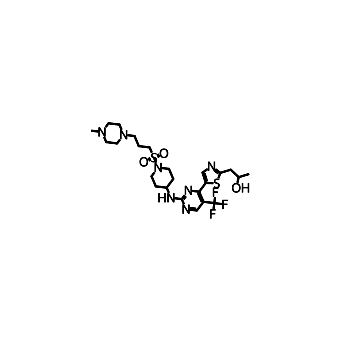 CC(O)Cc1ncc(-c2nc(NC3CCN(S(=O)(=O)CCCN4CCN(C)CC4)CC3)ncc2C(F)(F)F)s1